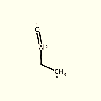 C[CH2][Al]=[O]